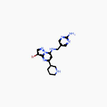 Nc1ncc(CNc2cc(C3CCCNC3)nc3c(Br)cnn23)cn1